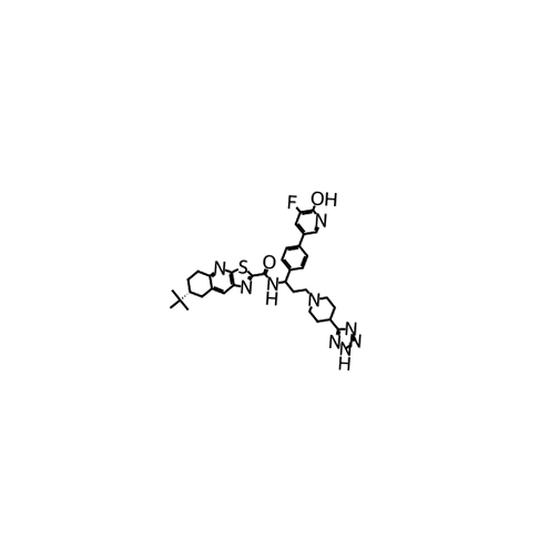 CC(C)(C)[C@@H]1CCc2nc3sc(C(=O)NC(CCN4CCC(c5nn[nH]n5)CC4)c4ccc(-c5cnc(O)c(F)c5)cc4)nc3cc2C1